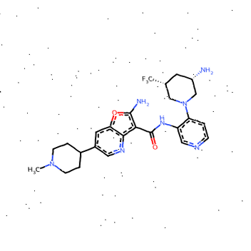 CN1CCC(c2cnc3c(C(=O)Nc4cnccc4N4C[C@@H](N)C[C@@H](C(F)(F)F)C4)c(N)oc3c2)CC1